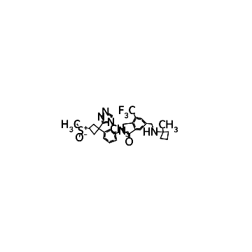 Cn1cnnc1C1(c2cccc(N3Cc4c(cc(CNC5(C)CCC5)cc4C(F)(F)F)C3=O)c2)CC([S@+](C)[O-])C1